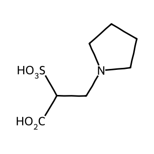 O=C(O)C(CN1CCCC1)S(=O)(=O)O